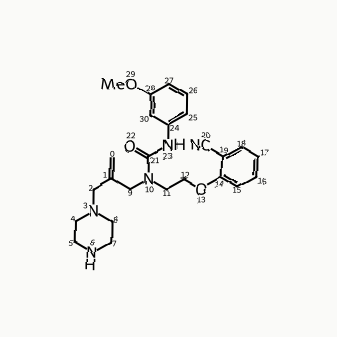 C=C(CN1CCNCC1)CN(CCOc1ccccc1C#N)C(=O)Nc1cccc(OC)c1